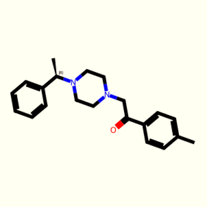 Cc1ccc(C(=O)CN2CCN([C@H](C)c3ccccc3)CC2)cc1